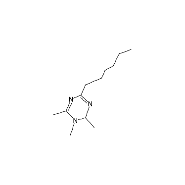 CCCCCCC1=NC(C)N(C)C(C)=N1